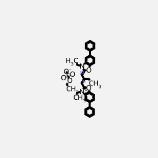 CCC(/C=C1\Oc2ccc(-c3ccccc3)cc2N1CC)=C\c1oc2ccc(-c3ccccc3)cc2[n+]1CC.CCOS(=O)(=O)[O-]